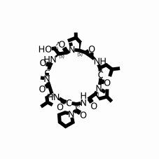 CC(C)CC1CC(=O)N(C)[C@@H](CC(C)C)C(=O)N[C@H](C(=O)N2CCCCC2)CC(=O)N[C@@H](CC(C)C)C(=O)N(C)CC(=O)N[C@@H]([C@@H](C)O)C(=O)N(C)[C@@H](CC(C)C)C2OC2N1